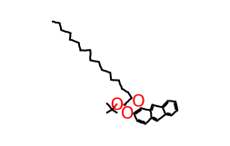 CCCCCCCCCCCCCCCCC(Oc1cccc2cc3ccccc3cc12)C(=O)OC(C)(C)C